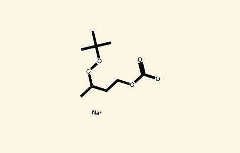 CC(CCOC(=O)[O-])OOC(C)(C)C.[Na+]